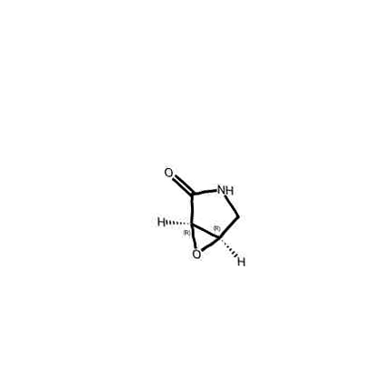 O=C1NC[C@H]2O[C@@H]12